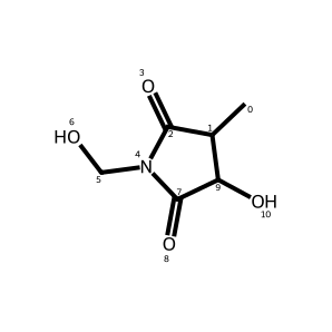 CC1C(=O)N(CO)C(=O)C1O